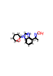 CC(=NO)c1cccc2c1ncn2C1CCCCO1